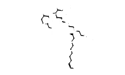 CCCCCCCC/C=C\CCCCCCCC(=O)N(CCN)CCNC(=O)C(O)C(O)C(O[C@@H]1OC(CO)[C@H](O)[C@H](O)C1O)C(O)CO